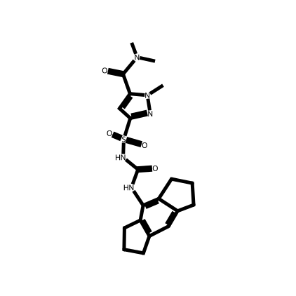 CN(C)C(=O)c1cc(S(=O)(=O)NC(=O)Nc2c3c(cc4c2CCC4)CCC3)nn1C